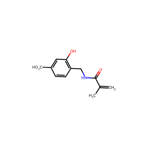 C=C(C)C(=O)NCc1ccc(C(=O)O)cc1O